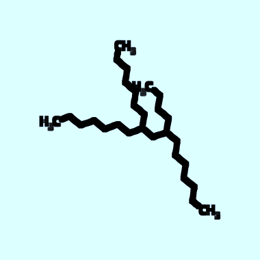 CCCCCCCC(CCCC)CC(CCCCCCC)CCCCCCC